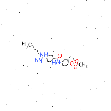 CCCCCNC(=N)c1ccc(C(=O)Nc2ccc3c(c2)CCC(OC(C)=O)O3)cc1